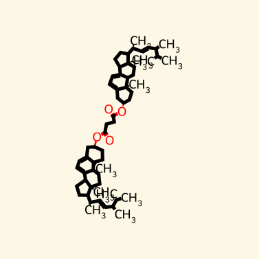 CC(C)C(C)/C=C/[C@@H](C)C1CCC2C3=CC=C4C[C@@H](OC(=O)CCC(=O)O[C@H]5CC[C@@]6(C)C(=CC=C7C8CCC([C@H](C)/C=C/C(C)C(C)C)[C@@]8(C)CCC76)C5)CC[C@]4(C)C3CC[C@@]21C